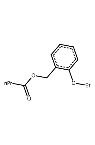 CCCC(=O)OCc1ccccc1OCC